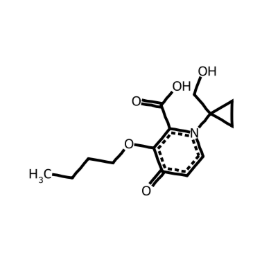 CCCCOc1c(C(=O)O)n(C2(CO)CC2)ccc1=O